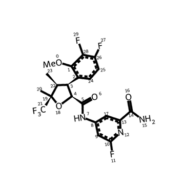 COc1c([C@H]2[C@@H](C(=O)Nc3cc(F)nc(C(N)=O)c3)O[C@@](C)(C(F)(F)F)[C@H]2C)ccc(F)c1F